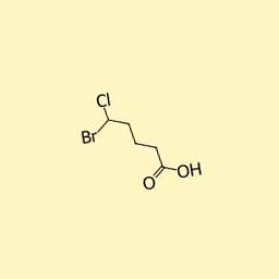 O=C(O)CCCC(Cl)Br